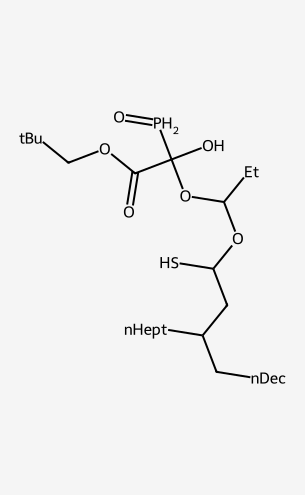 CCCCCCCCCCCC(CCCCCCC)CC(S)OC(CC)OC(O)([PH2]=O)C(=O)OCC(C)(C)C